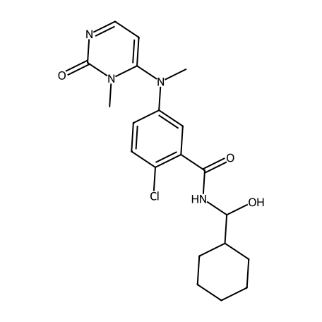 CN(c1ccc(Cl)c(C(=O)NC(O)C2CCCCC2)c1)c1ccnc(=O)n1C